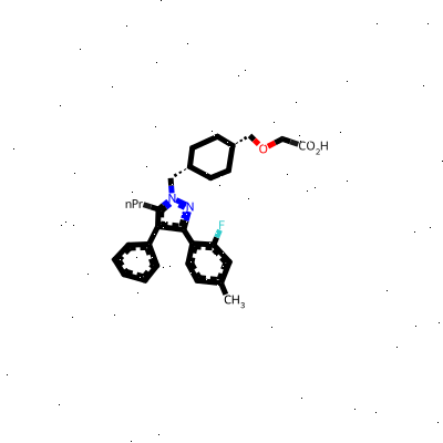 CCCc1c(-c2ccccc2)c(-c2ccc(C)cc2F)nn1C[C@H]1CC[C@@H](COCC(=O)O)CC1